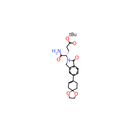 CC(C)(C)OC(=O)CC[C@@H](C(N)=O)N1Cc2cc(C3=CCC4(CC3)OCCO4)ccc2C1=O